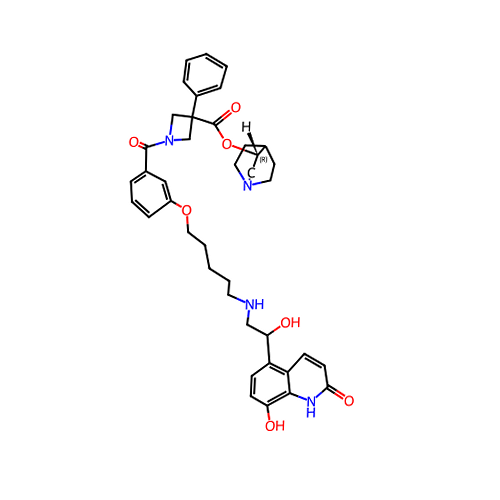 O=C(c1cccc(OCCCCCNCC(O)c2ccc(O)c3[nH]c(=O)ccc23)c1)N1CC(C(=O)O[C@H]2CN3CCC2CC3)(c2ccccc2)C1